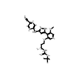 COc1cncc(OCC[C@@H](C)NC(=O)OC(C)(C)C)c1-c1cc(Nc2cnc(C#N)cn2)n[nH]1